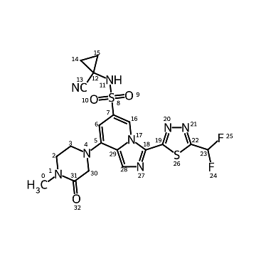 CN1CCN(c2cc(S(=O)(=O)NC3(C#N)CC3)cn3c(-c4nnc(C(F)F)s4)ncc23)CC1=O